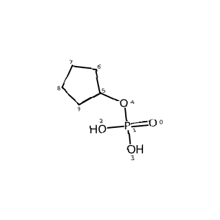 O=P(O)(O)OC1CCCC1